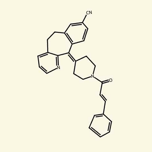 N#Cc1ccc2c(c1)CCc1cccnc1C2=C1CCN(C(=O)C=Cc2ccccc2)CC1